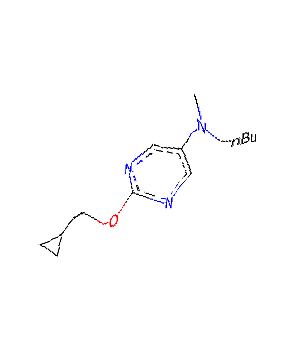 CCCCN(C)c1cnc(OCC2CC2)nc1